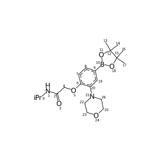 CC(C)NC(=O)COc1ccc(B2OC(C)(C)C(C)(C)O2)cc1N1CCOCC1